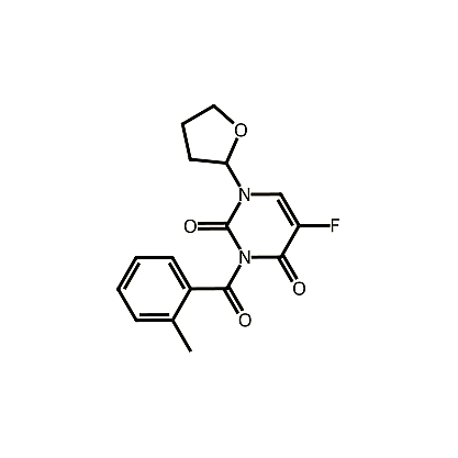 Cc1ccccc1C(=O)n1c(=O)c(F)cn(C2CCCO2)c1=O